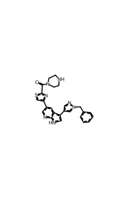 O=C(c1nc(-c2cnc3[nH]cc(-c4cnn(Cc5ccccc5)c4)c3c2)cs1)N1CCNCC1